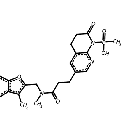 Cc1c(CN(C)C(=O)CCc2cnc3c(c2)CCC(=O)N3P(C)(=O)O)oc2ccccc12